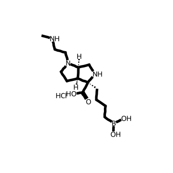 CNCCN1CC[C@H]2[C@@H]1CN[C@@]2(CCCCB(O)O)C(=O)O.Cl